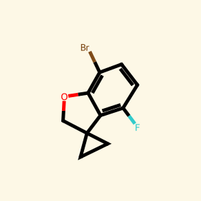 Fc1ccc(Br)c2c1C1(CC1)CO2